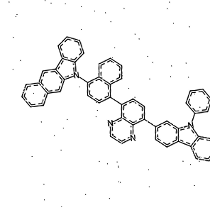 c1ccc(-n2c3ccccc3c3ccc(-c4ccc(-c5ccc(-n6c7ccccc7c7cc8ccccc8cc76)c6ccccc56)c5nccnc45)cc32)cc1